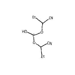 CCC(C#N)OP(O)OC(C#N)CC